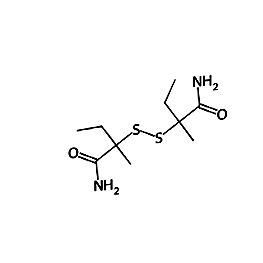 CCC(C)(SSC(C)(CC)C(N)=O)C(N)=O